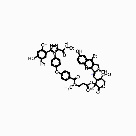 CCNC(=O)c1nnc(-c2cc(C(C)C)c(O)cc2O)n1-c1ccc(Oc2ccc(C(=O)N(C)CCC(=O)OC3(CC)C(=O)OCC(C=O)=C3/C=C3/c4nc5ccc(O)cc5c(CC)c4CN3C)cc2)cc1